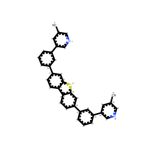 N#Cc1cncc(-c2cccc(-c3ccc4c(c3)sc3cc(-c5cccc(-c6cncc(C#N)c6)c5)ccc34)c2)c1